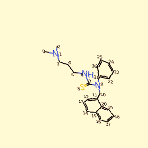 CN(C)CCCNC(=S)N(Cc1cccc2ccccc12)c1ccccc1